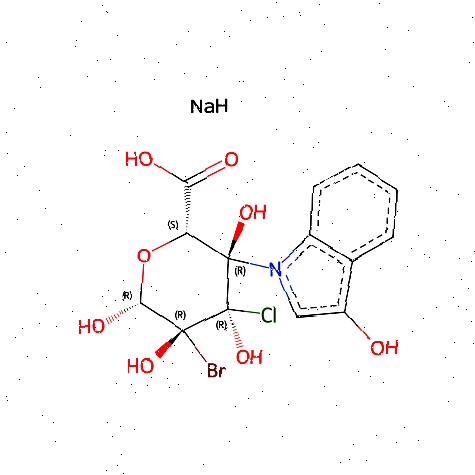 O=C(O)[C@H]1O[C@@H](O)[C@@](O)(Br)[C@](O)(Cl)[C@@]1(O)n1cc(O)c2ccccc21.[NaH]